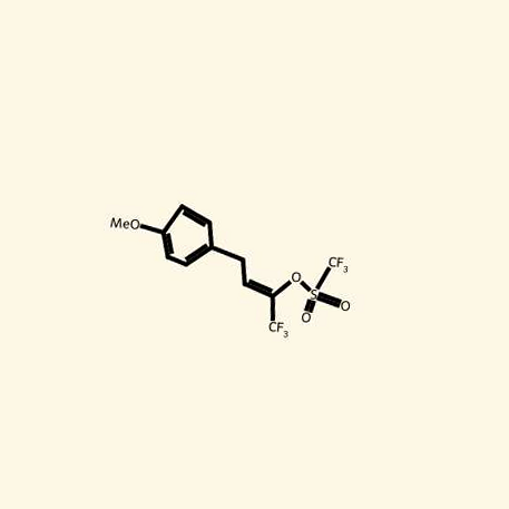 COc1ccc(CC=C(OS(=O)(=O)C(F)(F)F)C(F)(F)F)cc1